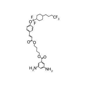 Nc1cc(N)cc(C(=O)OCCCCOC(=O)C=Cc2ccc(OC(F)(F)C3CCC(CCCC(F)(F)F)CC3)cc2)c1